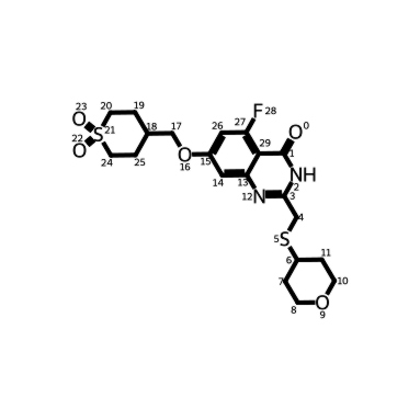 O=c1[nH]c(CSC2CCOCC2)nc2cc(OCC3CCS(=O)(=O)CC3)cc(F)c12